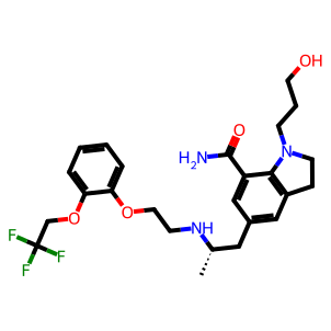 C[C@@H](Cc1cc2c(c(C(N)=O)c1)N(CCCO)CC2)NCCOc1ccccc1OCC(F)(F)F